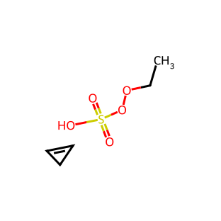 C1=CC1.CCOOS(=O)(=O)O